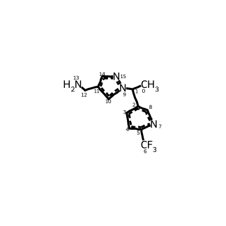 CC(c1ccc(C(F)(F)F)nc1)n1cc(CN)cn1